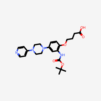 CC(C)(C)OC(=O)Nc1cc(N2CCN(c3ccncc3)CC2)ccc1OCCCC(=O)O